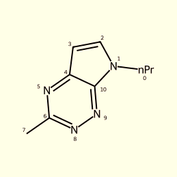 CCCn1ccc2nc(C)nnc21